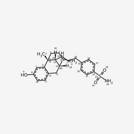 CN1CC[C@@]2(C)c3cc(O)ccc3C[C@@H]1[C@H]2NCCc1ccc(S(N)(=O)=O)cc1